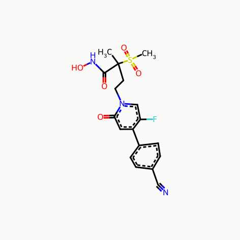 CC(CCn1cc(F)c(-c2ccc(C#N)cc2)cc1=O)(C(=O)NO)S(C)(=O)=O